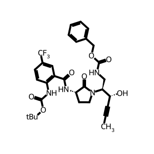 CC#C[C@@H](O)[C@H](CNC(=O)OCc1ccccc1)N1CC[C@H](NC(=O)c2cc(C(F)(F)F)ccc2NC(=O)OC(C)(C)C)C1=O